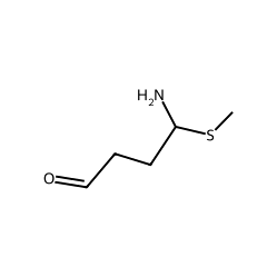 CSC(N)CCC=O